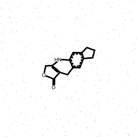 O=C1OCC2=C1Cc1cc3c(cc1N2)CCC3